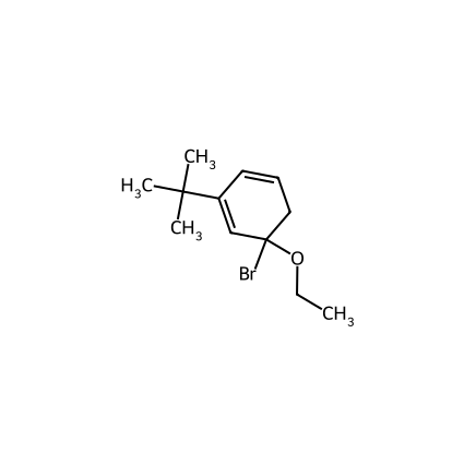 CCOC1(Br)C=C(C(C)(C)C)C=CC1